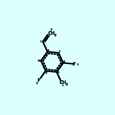 C=Cc1cc(F)c(C)c(F)c1